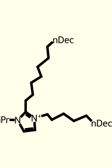 CCCCCCCCCCCCCCCCCc1n(C(C)C)cc[n+]1CCCCCCCCCCCCCCC